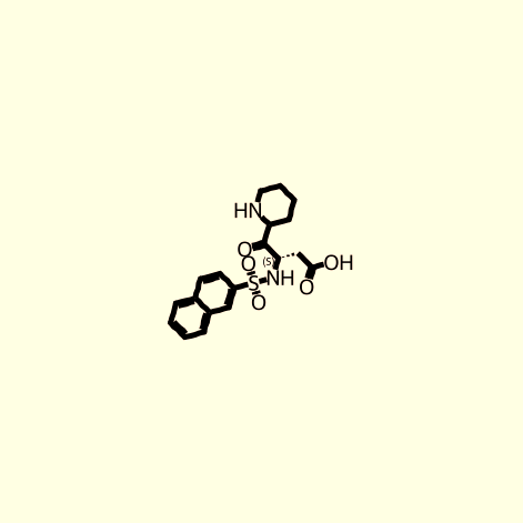 O=C(O)C[C@H](NS(=O)(=O)c1ccc2ccccc2c1)C(=O)C1CCCCN1